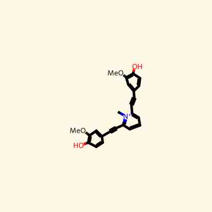 COc1cc(C#Cc2cccc(C#Cc3ccc(O)c(OC)c3)[n+]2C)ccc1O